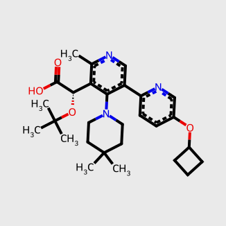 Cc1ncc(-c2ccc(OC3CCC3)cn2)c(N2CCC(C)(C)CC2)c1[C@H](OC(C)(C)C)C(=O)O